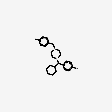 Fc1ccc(CN2CCN(C(c3ccc(F)cc3)C3CCCCC3)CC2)cc1